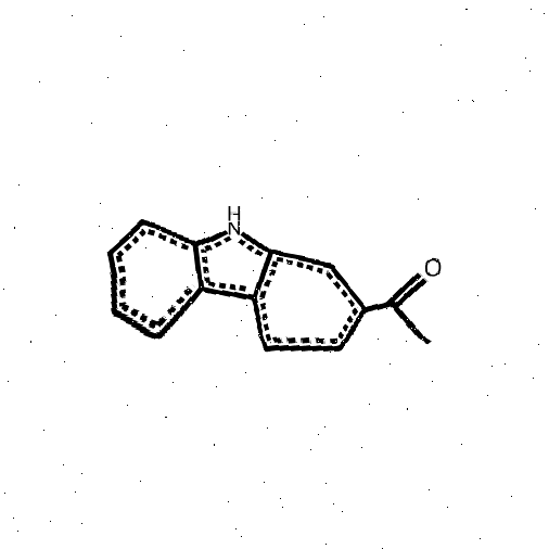 CC(=O)c1ccc2c(c1)[nH]c1ccccc12